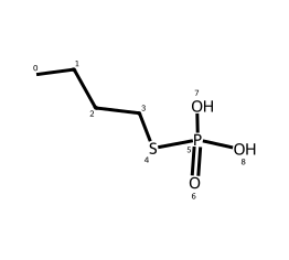 CCCCSP(=O)(O)O